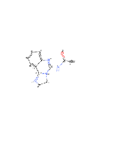 CC(C)(C)C(=O)NC1=Nc2ccccc2C2=NCCN12